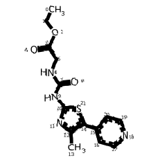 CCOC(=O)CNC(=O)Nc1nc(C)c(-c2ccncc2)s1